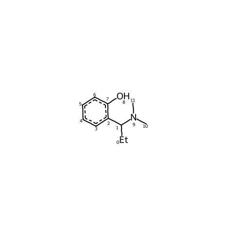 CCC(c1ccccc1O)N(C)C